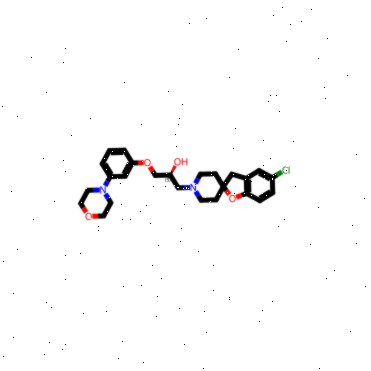 O[C@H](COc1cccc(N2CCOCC2)c1)CN1CCC2(CC1)Cc1cc(Cl)ccc1O2